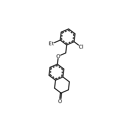 CCc1cccc(Cl)c1COc1ccc2c(c1)CCC(=O)C2